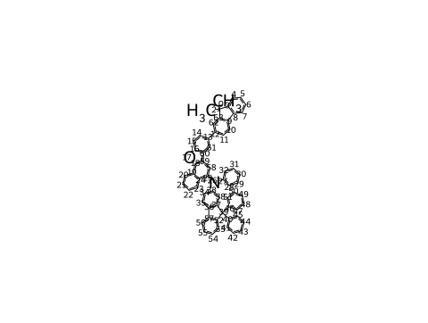 CC1(C)c2ccccc2-c2ccc(-c3ccc4oc5c6ccccc6c(N(c6ccccc6)c6ccc7c(c6)C(c6ccccc6)(c6ccccc6)c6ccccc6-7)cc5c4c3)cc21